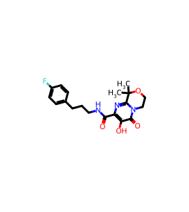 CC1(C)OCCn2c1nc(C(=O)NCCCc1ccc(F)cc1)c(O)c2=O